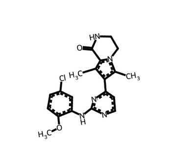 COc1ccc(Cl)cc1Nc1nccc(-c2c(C)c3n(c2C)CCNC3=O)n1